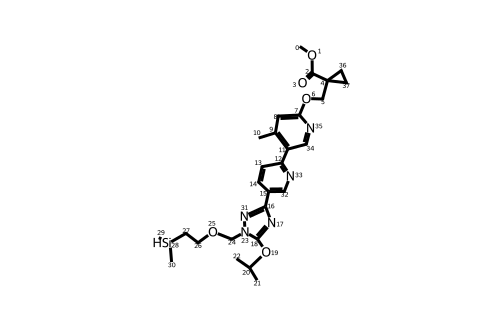 COC(=O)C1(COc2cc(C)c(-c3ccc(-c4nc(OC(C)C)n(COCC[SiH](C)C)n4)cn3)cn2)CC1